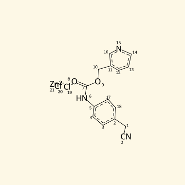 N#CCc1ccc(NC(=O)OCc2cccnc2)cc1.[Cl-].[Cl-].[Zn+2]